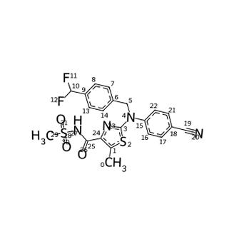 Cc1sc(N(Cc2ccc(C(F)F)cc2)c2ccc(C#N)cc2)nc1C(=O)NS(C)(=O)=O